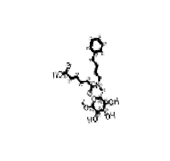 CO[C@H]1O[C@H](CN(CCCCc2ccccc2)C(=O)CCCCC(=O)O)[C@@H](O)[C@H](O)[C@H]1O